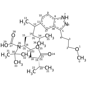 COCCCc1n[nH]c2ccc(C(C)[C@@H](C[C@@H]([C@@H]3C[C@@H](C(C)C)C(=O)O3)N(C(=O)O)C(C)(C)C)C(C)C)cc12